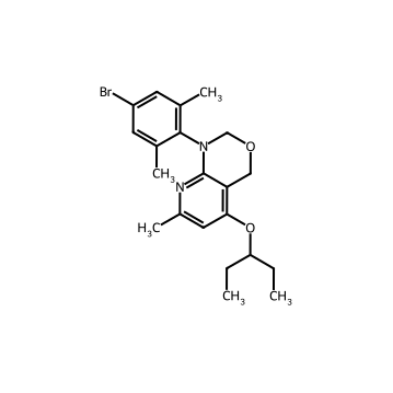 CCC(CC)Oc1cc(C)nc2c1COCN2c1c(C)cc(Br)cc1C